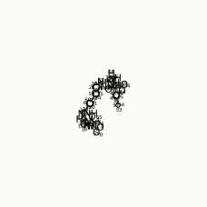 COC(=O)N[C@H](C(=O)N1[C@@H]2CC[C@@H](C2)[C@H]1c1ncc(-c2ccc(-c3ccc4c(ccc5nc([C@@H]6C[C@H]7C[C@H]7N6C(=O)[C@H](NC(=O)OC)c6ccc(C7CCC7)cc6)[nH]c54)c3)cc2)[nH]1)C(C)C